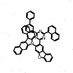 c1ccc(-c2cccc(-c3nc(-c4cc5c(cc4-n4c6cc7ccccc7cc6c6c7ccccc7ccc64)oc4ccccc45)nc(-c4cccc5ccccc45)n3)c2)cc1